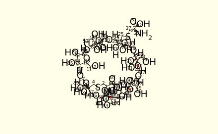 N[C@H](CSCC1O[C@@H]2O[C@@H]3C(CO)O[C@@H](O[C@@H]4C(CO)O[C@@H](O[C@@H]5C(CSC[C@@H](N)C(=O)O)O[C@@H](O[C@@H]6C(CO)O[C@H](O[C@@H]7C(CO)O[C@H](O[C@@H]8C(CO)O[C@H](O[C@H]1C(O)C2O)C(O)C8O)C(O)C7O)C(O)C6O)C(O)C5O)C(O)C4O)C(O)C3O)C(=O)O